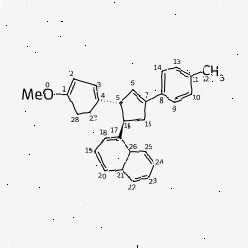 COC1=CC=C([C@@H]2C=C(c3ccc(C)cc3)C[C@H]2C2=CC=CC3C=CC=CC23)CC1